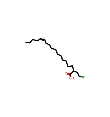 CCCC/C=C\CCCCCCCCCCC(CCF)C(=O)O